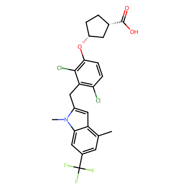 Cc1cc(C(F)(F)F)cc2c1cc(Cc1c(Cl)ccc(O[C@@H]3CC[C@H](C(=O)O)C3)c1Cl)n2C